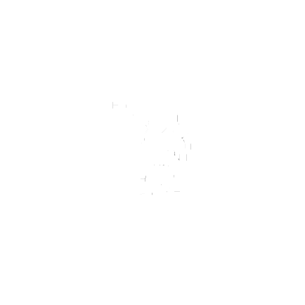 CCOC(=O)C1=C[C@@H]2C[C@@H]2[C@@H](NC(=O)OC(C)(C)C)C1